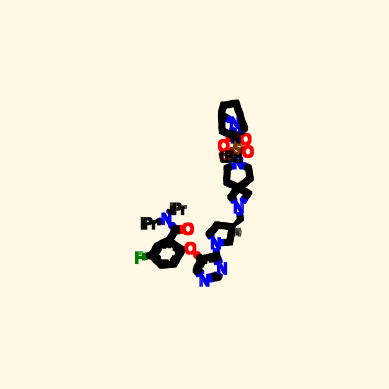 CC(C)N(C(=O)c1cc(F)ccc1Oc1cncnc1N1CC[C@@H](CN2CC3(CCN(S(=O)(=O)N4CC5CCC(C4)N5C(=O)OC(C)(C)C)CC3)C2)C1)C(C)C